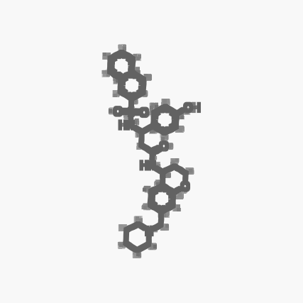 O=C(CC(NS(=O)(=O)c1ccc2ccccc2c1)c1ccc(O)cc1)NC1CCOc2cc(CN3CCCCC3)ccc21